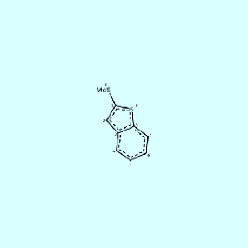 CSc1cc2ccccc2s1